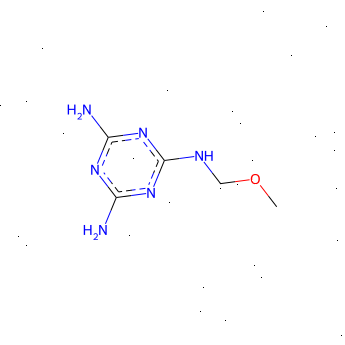 COCNc1nc(N)nc(N)n1